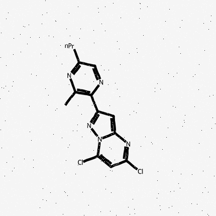 CCCc1cnc(-c2cc3nc(Cl)cc(Cl)n3n2)c(C)n1